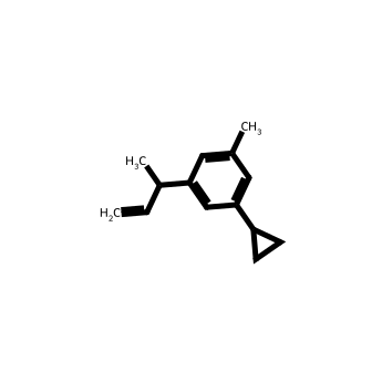 C=C[C](C)c1cc(C)cc(C2CC2)c1